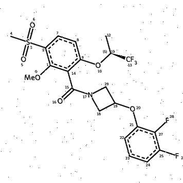 COc1c(S(C)(=O)=O)ccc(O[C@@H](C)C(F)(F)F)c1C(=O)N1CC(Oc2cccc(F)c2F)C1